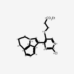 CCOC(=O)CCSc1cnc(Cl)nc1-c1cn2c3c(cccc13)CCC2